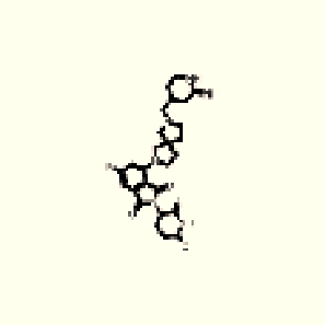 N=C1CC(CN2CCC3(CCN(c4cc(F)cc5c4C(=O)N(C4CCC(=O)NC4=O)C5=O)C3)C2)CCN1